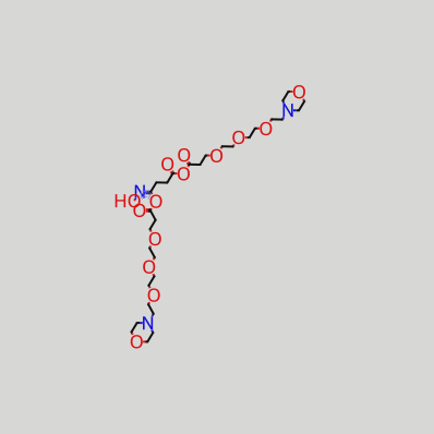 O=C(CCOCCOCCOCCN1CCOCC1)OC(=O)CC/C(=N/O)OC(=O)CCOCCOCCOCCN1CCOCC1